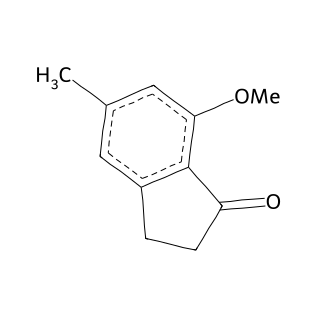 COc1cc(C)cc2c1C(=O)CC2